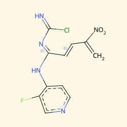 C=C(/C=C/C(=N\C(=N)Cl)Nc1ccncc1F)[N+](=O)[O-]